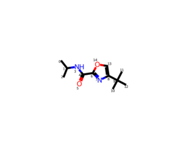 CC(C)NC(=O)c1nc(C(C)(C)C)co1